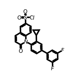 O=c1ccc2cc(S(=O)(=O)Cl)ccc2n1-c1ccc(-c2cc(F)cc(F)c2)cc1C1CC1